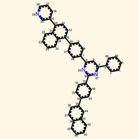 c1ccc(-c2cc(-c3ccc(-c4ccc(-c5cccnc5)c5ccccc45)cc3)nc(-c3ccc(-c4ccc5ccccc5c4)cc3)n2)cc1